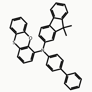 CC1(C)c2ccccc2-c2ccc(N(c3ccc(-c4ccccc4)cc3)c3cccc4c3Oc3ccccc3S4)cc21